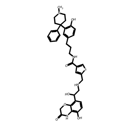 CN1CCC(c2ccccc2)(c2cc(CCCNC(=O)c3csc(CNCC(O)c4ccc(O)c5c4OCC(=O)N5)c3)ccc2O)CC1